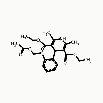 CCOC(=O)C1=C(C)NC(C)=C(C(=O)OCC)C1c1ccccc1SCOC(C)=O